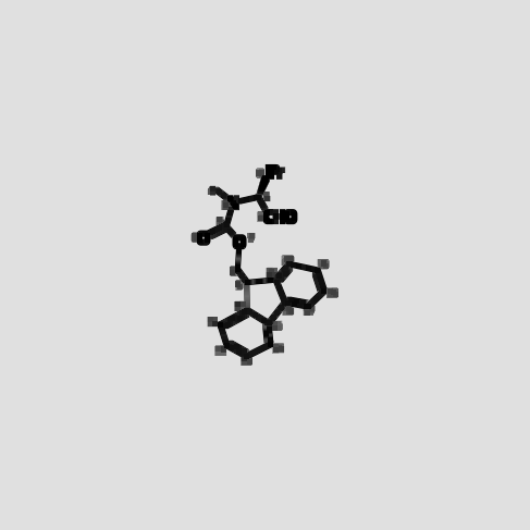 CC(C)[C@@H](C=O)N(C)C(=O)OCC1c2ccccc2-c2ccccc21